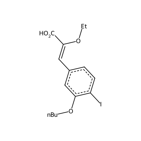 CCCCOc1cc(C=C(OCC)C(=O)O)ccc1I